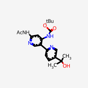 CC(=O)Nc1cc(NC(=O)OC(C)(C)C)c(-c2ccc(C(C)(C)O)cn2)cn1